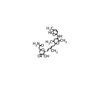 CC(/C=C/[C@H]1O[C@H](CC(N)=O)C[C@@]2(CO2)[C@@H]1O)=C\C[C@@H]1O[C@H](C)[C@H](NC(=O)/C=C\[C@H](C)O)C[C@@H]1C